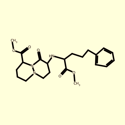 COC(=O)C(CCCc1ccccc1)NC1CCN2CCCC(C(=O)OC)N2C1=O